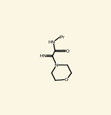 CC(C)NC(=O)C(=N)N1CCOCC1